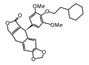 COc1cc([C@@H]2C3=C(COC3=O)Cc3cc4c(cc32)OCO4)cc(OC)c1OCCC1CCCCC1